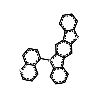 c1cc(-n2c3ccccc3c3cc4sc5ccccc5c4cc32)c2cccnc2c1